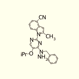 Cc1cc2c(C#N)cccc2n1-c1ncc(OC(C)C)c(N(N)Cc2ccccc2)n1